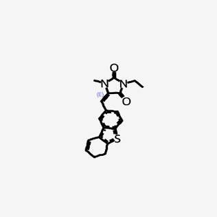 CCN1C(=O)/C(=C\c2ccc3sc4c(c3c2)C=CCC4)N(C)C1=O